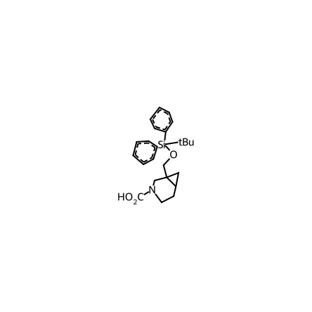 CC(C)(C)[Si](OCC12CC1CCN(C(=O)O)C2)(c1ccccc1)c1ccccc1